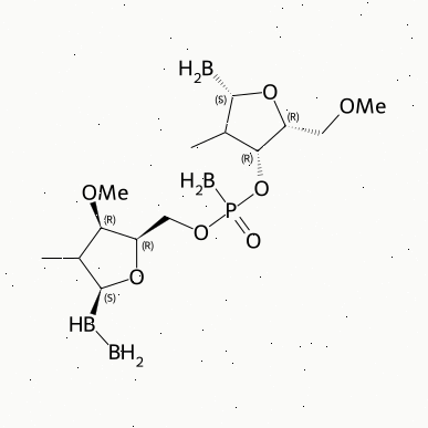 BB[C@@H]1O[C@H](COP(B)(=O)O[C@@H]2C(C)[C@H](B)O[C@@H]2COC)[C@H](OC)C1C